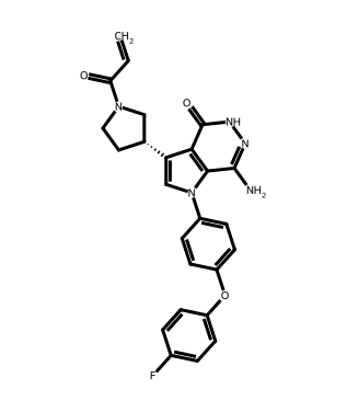 C=CC(=O)N1CC[C@@H](c2cn(-c3ccc(Oc4ccc(F)cc4)cc3)c3c(N)n[nH]c(=O)c23)C1